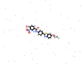 COc1ccc2nc(C3=CC=C(NC(=O)c4ccc(Br)c([N+](=O)[O-])c4)CC3)sc2c1